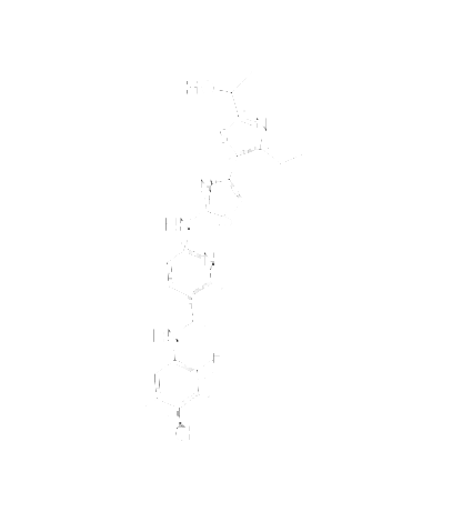 CCc1nc(C(C)O)sc1-c1csc(Nc2ccc(CNc3ccc(Cl)cc3F)cn2)n1